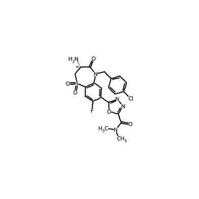 CN(C)C(=O)c1nnc(-c2cc3c(cc2F)S(=O)(=O)C[C@H](N)C(=O)N3Cc2ccc(Cl)cc2)o1